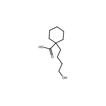 O=C(O)C1(CCCCO)CCCCC1